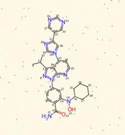 CC(C)c1nn(-c2ccc(C(N)=O)c(N(O)C3CCCCC3)c2)c2nccc(-n3cnc(-c4cncnc4)c3)c12